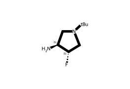 CC(C)(C)N1C[C@H](N)[C@@H](F)C1